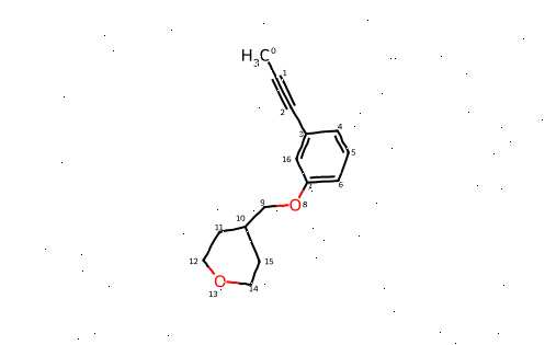 CC#Cc1cccc(OCC2CCOCC2)c1